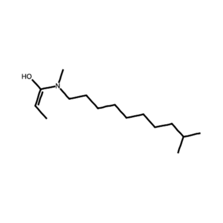 C/C=C(/O)N(C)CCCCCCCCC(C)C